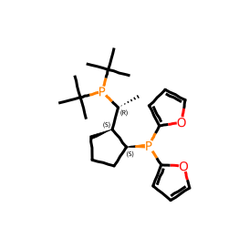 C[C@H]([C@@H]1CCC[C@@H]1P(c1ccco1)c1ccco1)P(C(C)(C)C)C(C)(C)C